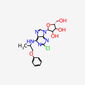 CC(COc1ccccc1)Nc1nc(Cl)nc2c1ncn2[C@@H]1O[C@H](CO)C(O)C1O